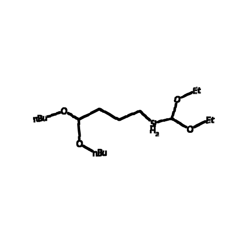 CCCCOC(CCC[SiH2]C(OCC)OCC)OCCCC